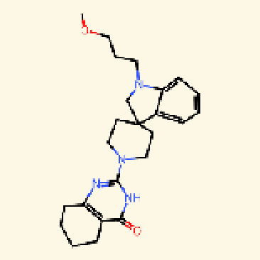 COCCCN1CC2(CCN(c3nc4c(c(=O)[nH]3)CCCC4)CC2)c2ccccc21